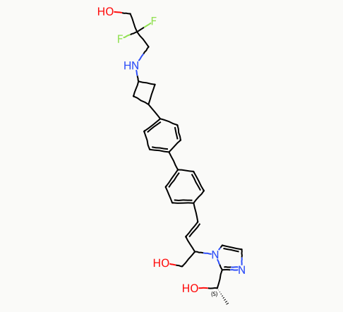 C[C@H](O)c1nccn1C(C=Cc1ccc(-c2ccc(C3CC(NCC(F)(F)CO)C3)cc2)cc1)CO